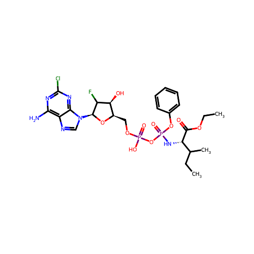 CCOC(=O)[C@@H](NP(=O)(Oc1ccccc1)OP(=O)(O)OC[C@H]1O[C@@H](n2cnc3c(N)nc(Cl)nc32)C(F)[C@H]1O)C(C)CC